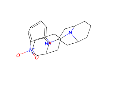 O=[N+]([O-])c1ccccc1NC1CC2CCCC(C1)N2C1CC2CCCC(C2)C1